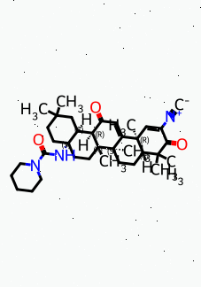 [C-]#[N+]C1=C[C@]2(C)C3=CC(=O)[C@@H]4[C@@H]5CC(C)(C)CC[C@]5(NC(=O)N5CCCCC5)CC[C@@]4(C)[C@]3(C)CC[C@H]2C(C)(C)C1=O